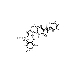 CCOC(=O)c1cc2c(n1Cc1c(C)cc(C)cc1C)-c1[nH]c(=O)c(S(=O)(=O)c3ccccc3)cc1CC2